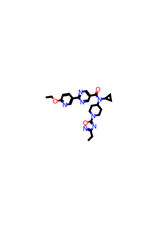 CCOc1ccc(-c2ncc(C(=O)N(C3CC3)C3CCN(c4nc(CC)no4)CC3)cn2)cn1